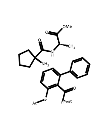 CCCCCC(=O)c1c(SC(C)=O)cccc1-c1ccccc1.COC(=O)[C@@H](C)NC(=O)C1(N)CCCC1